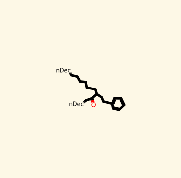 CCCCCCCCCCCCCCCCC(CCc1ccccc1)C(=O)CCCCCCCCCCC